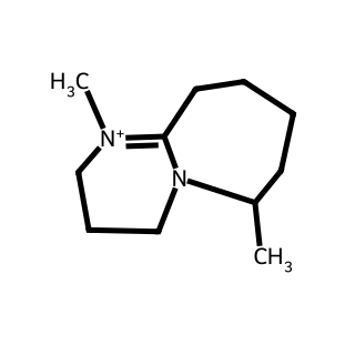 CC1CCCCC2=[N+](C)CCCN21